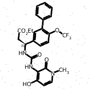 CCOC(=O)C[C@H](NC(=O)Nc1c(O)ccn(C)c1=O)c1ccc(OC(F)(F)F)c(-c2ccccc2)c1